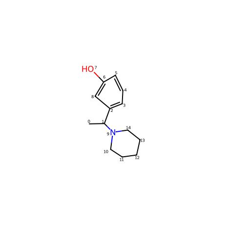 CC(c1cccc(O)c1)N1CCCCC1